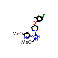 COCc1nnc(N2CCC(Oc3ccc(F)cc3C)CC2)n1-c1ccc(OC)nc1